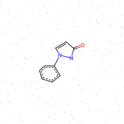 O=C1C=CN(c2ccccc2)[N]1